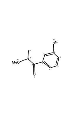 CCCc1cccc(C(=O)N(C)OC)c1